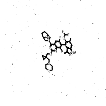 Cc1cc2[nH]nc(C)c2c(-c2c(F)cc3c(N4CC5CCC(C4)N5)nc(OCC4(CN5CCOCC5)CC4)nc3c2F)c1OC(F)F